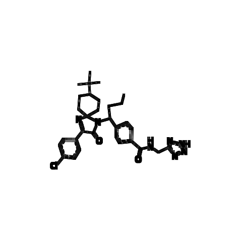 CCCC(c1ccc(C(=O)NCc2nn[nH]n2)cc1)N1C(=O)C(c2ccc(Cl)cc2)=NC12CCC(C(C)(C)C)CC2